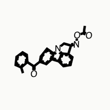 CC(=O)O/N=C1\Cn2c3ccc(C(=O)c4ccccc4C)cc3c3cccc1c32